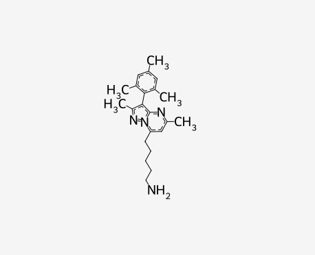 Cc1cc(C)c(-c2c(C)nn3c(CCCCCN)cc(C)nc23)c(C)c1